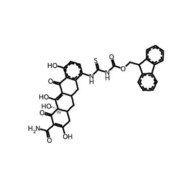 NC(=O)C1=C(O)CC2CC3Cc4c(NC(=S)NC(=O)OCC5c6ccccc6-c6ccccc65)ccc(O)c4C(=O)C3=C(O)[C@]2(O)C1=O